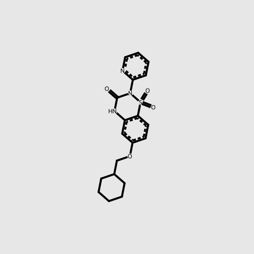 O=C1Nc2cc(OCC3CCCCC3)ccc2S(=O)(=O)N1c1ccccn1